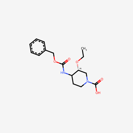 CCO[C@@H]1CN(C(=O)O)CCC1NC(=O)OCc1ccccc1